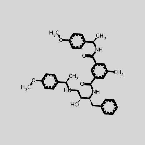 COc1ccc([C@@H](C)NC[C@@H](O)[C@H](Cc2ccccc2)NC(=O)c2cc(C)cc(C(=O)N[C@H](C)c3ccc(OC)cc3)c2)cc1